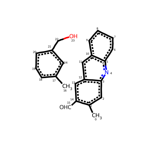 Cc1cc2nc3ccccc3cc2cc1C=O.Cc1cccc(CO)c1